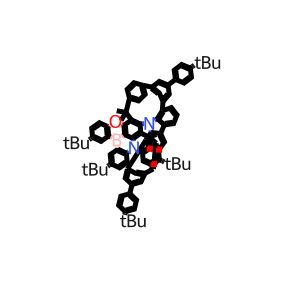 CC(C)(C)c1ccc(-c2cc3cc(c2)-c2cccc4c5cccc6c5n(c24)-c2c(c4c5c7c2C(C)(c2ccc(cc2)-c2cc(-c8ccc(C(C)(C)C)cc8)cc-6c2)c2cc(C(C)(C)C)ccc2N7c2ccc(C(C)(C)C)cc2B5c2cc(C(C)(C)C)ccc2O4)C(C)(C)c2ccc-3cc2)cc1